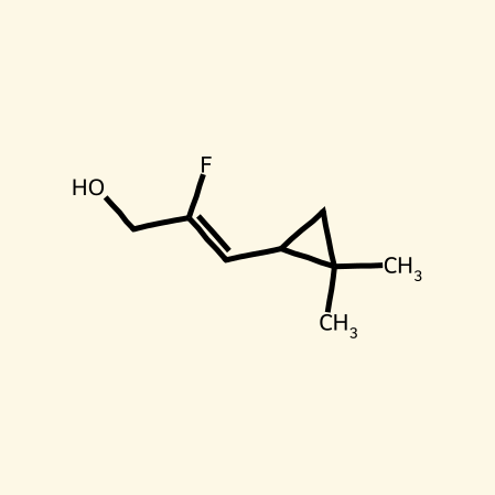 CC1(C)CC1C=C(F)CO